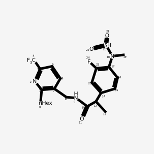 CCCCCCc1nc(C(F)(F)F)ccc1CNC(=O)C(C)c1ccc(N(C)[SH](=O)=O)c(F)c1